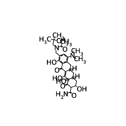 CC(=O)N(Cc1cc(N(C)C)c2c(c1O)C(=O)C1=C(O)[C@]3(O)C(=O)C(C(N)=O)C(O)C[C@@H]3C[C@@H]1C2)CC(C)(C)C